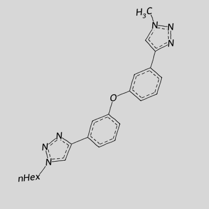 CCCCCCn1cc(-c2cccc(Oc3cccc(-c4cn(C)nn4)c3)c2)nn1